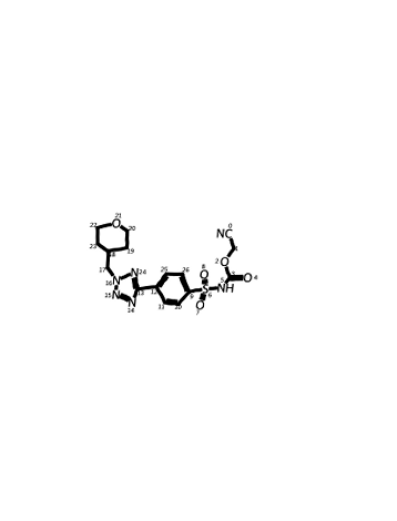 N#CCOC(=O)NS(=O)(=O)c1ccc(-c2nnn(CC3CCOCC3)n2)cc1